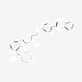 Nc1ccccc1NC(=O)c1ccc(OCCN(C=O)c2cc3cccc(C(N4CCCCC4)C(F)(F)F)c3o2)cc1